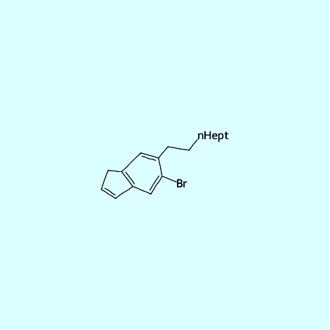 CCCCCCCCCc1cc2c(cc1Br)C=CC2